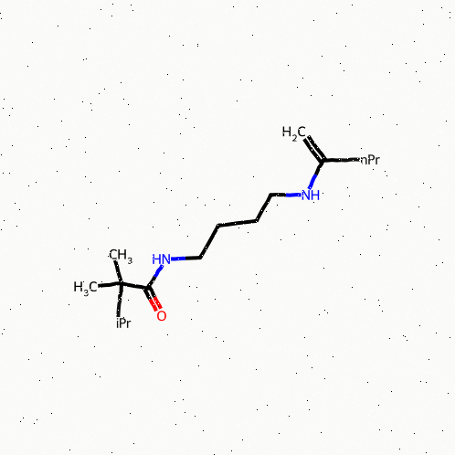 C=C(CCC)NCCCCNC(=O)C(C)(C)C(C)C